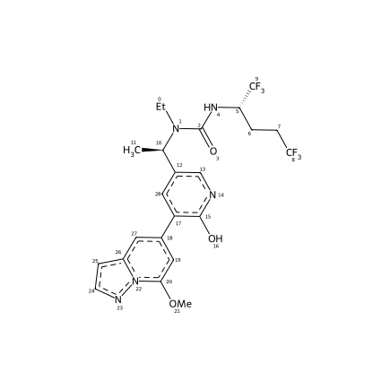 CCN(C(=O)N[C@@H](CCC(F)(F)F)C(F)(F)F)[C@H](C)c1cnc(O)c(-c2cc(OC)n3nccc3c2)c1